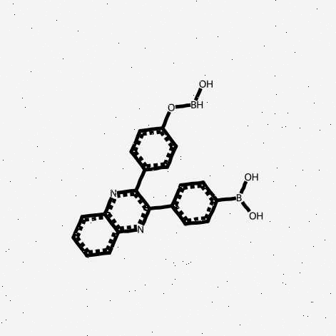 OBOc1ccc(-c2nc3ccccc3nc2-c2ccc(B(O)O)cc2)cc1